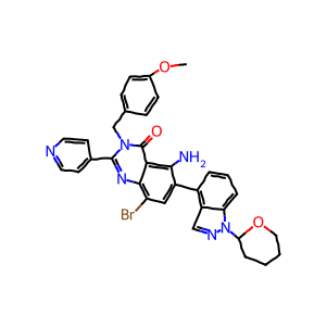 COc1ccc(Cn2c(-c3ccncc3)nc3c(Br)cc(-c4cccc5c4cnn5C4CCCCO4)c(N)c3c2=O)cc1